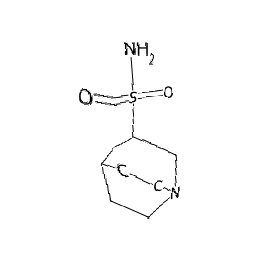 NS(=O)(=O)C1CN2CCC1CC2